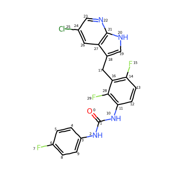 O=C(Nc1ccc(F)cc1)Nc1ccc(F)c(Cc2c[nH]c3ncc(Cl)cc23)c1F